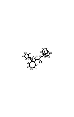 O=C(NCC12CC3CC(CC(C3)C1)C2)c1nn(C2CCCC2)c2c1CCCCC2